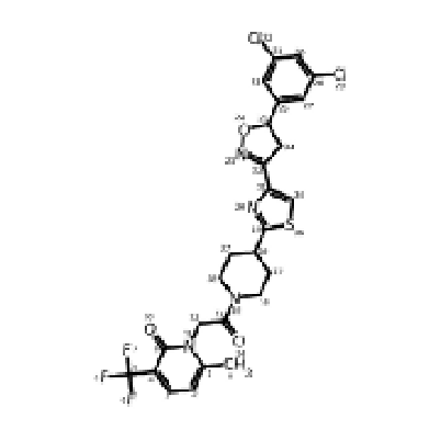 Cc1ccc(C(F)(F)F)c(=O)n1CC(=O)N1CCC(c2nc(C3=NOC(c4cc(Cl)cc(Cl)c4)C3)cs2)CC1